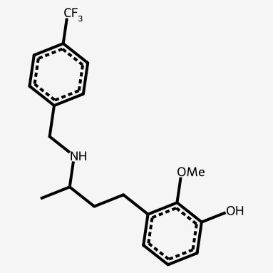 COc1c(O)cccc1CCC(C)NCc1ccc(C(F)(F)F)cc1